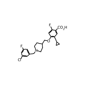 O=C(O)c1cc(C2CC2)c(OCC2CCN(Cc3cc(F)cc(Cl)c3)CC2)cc1F